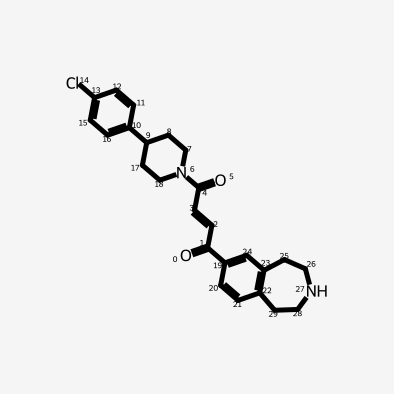 O=C(C=CC(=O)N1CCC(c2ccc(Cl)cc2)CC1)c1ccc2c(c1)CCNCC2